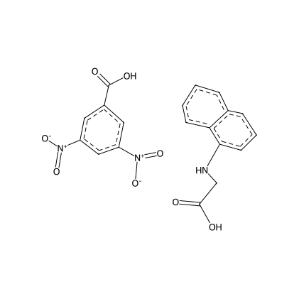 O=C(O)CNc1cccc2ccccc12.O=C(O)c1cc([N+](=O)[O-])cc([N+](=O)[O-])c1